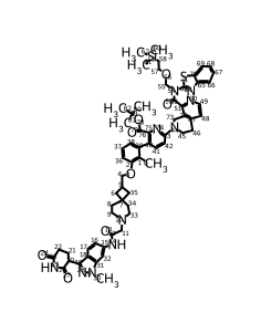 Cc1c(OCC2CC3(CCN(CC(=O)Nc4ccc5c(C6CCC(=O)NC6=O)nn(C)c5c4)CC3)C2)cccc1-c1ccc(N2CCc3ccnc(C(=O)N(COCC[Si](C)(C)C)c4nc5ccccc5s4)c3C2)nc1C(=O)OC(C)(C)C